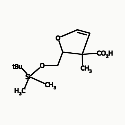 CC1(C(=O)O)C=COC1CO[Si](C)(C)C(C)(C)C